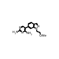 COCCn1ncc2ccc(-c3cnc(N)nc3N)cc21